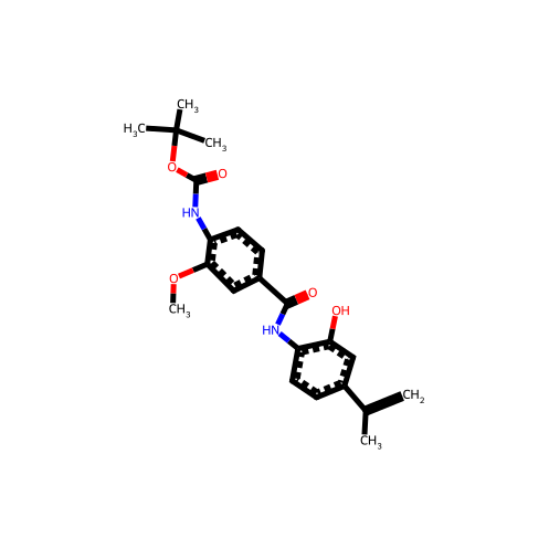 C=C(C)c1ccc(NC(=O)c2ccc(NC(=O)OC(C)(C)C)c(OC)c2)c(O)c1